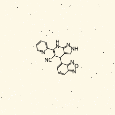 N#CC1=C(c2ccccn2)Nc2n[nH]cc2C1c1cccc2nonc12